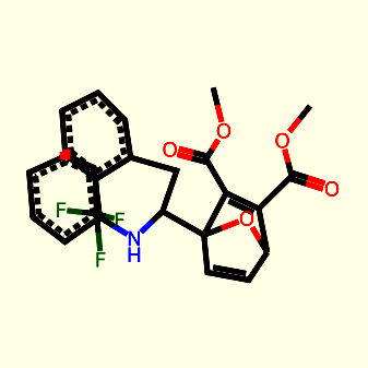 COC(=O)C1=C(C(=O)OC)C2(C(Cc3ccccc3C(F)(F)F)Nc3ccccc3)C=CC1O2